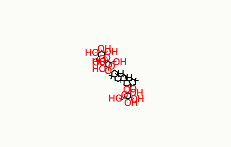 CC1(C)CC[C@]2(C(=O)O[C@H]3O[C@H](CO)[C@@H](O)[C@H](O)[C@H]3O)CC[C@]3(C)C(=CC[C@@H]4[C@@]5(C)CC[C@H](O[C@@H]6O[C@H](CO)[C@@H](O[C@@H]7O[C@H](CO)[C@H](O)[C@H](O)[C@H]7O)[C@H](O)[C@H]6O)C(C)(C)C5CC[C@]43C)[C@H]2C1